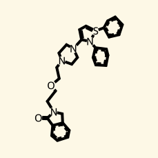 O=C1c2ccccc2CN1CCOCCN1CCN(C2=CC=S(c3ccccc3)N2c2ccccc2)CC1